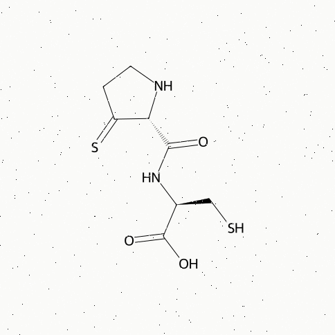 O=C(N[C@@H](CS)C(=O)O)[C@H]1NCCC1=S